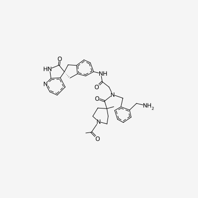 CC(=O)N1CCC(C)(C(=O)N(CC(=O)Nc2ccc3c(c2)C[C@@]2(C3)C(=O)Nc3ncccc32)Cc2ccccc2CN)CC1